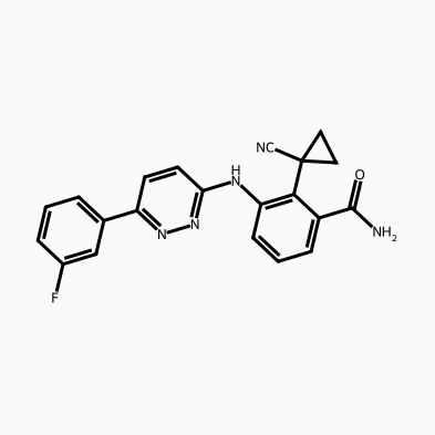 N#CC1(c2c(Nc3ccc(-c4cccc(F)c4)nn3)cccc2C(N)=O)CC1